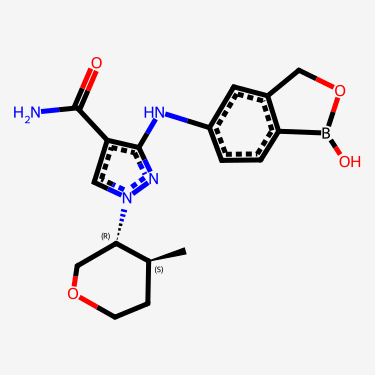 C[C@H]1CCOC[C@@H]1n1cc(C(N)=O)c(Nc2ccc3c(c2)COB3O)n1